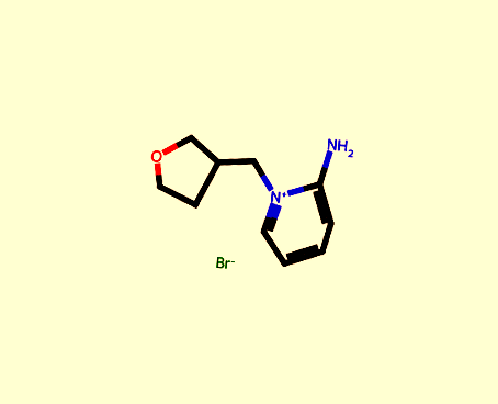 Nc1cccc[n+]1CC1CCOC1.[Br-]